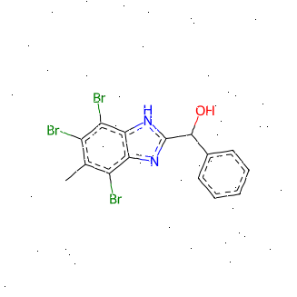 Cc1c(Br)c(Br)c2[nH]c(C(O)c3ccccc3)nc2c1Br